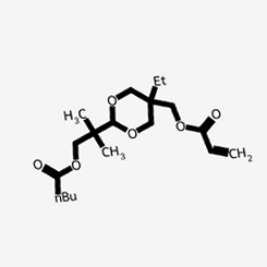 C=CC(=O)OCC1(CC)COC(C(C)(C)COC(=O)CCCC)OC1